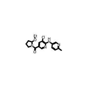 CCOC1CCCN1C(=O)c1cnc(Nc2ccc(C)nc2)c(Cl)c1